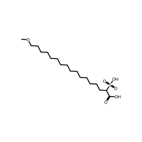 COCCCCCCCCCCCCCCCC(C(=O)O)S(=O)(=O)O